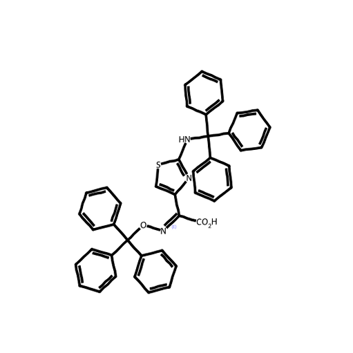 O=C(O)/C(=N/OC(c1ccccc1)(c1ccccc1)c1ccccc1)c1csc(NC(c2ccccc2)(c2ccccc2)c2ccccc2)n1